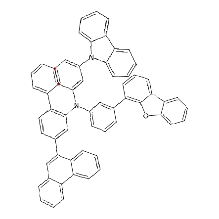 c1ccc(-c2ccc(-c3cc4ccccc4c4ccccc34)cc2N(c2cccc(-c3cccc4c3oc3ccccc34)c2)c2cccc(-n3c4ccccc4c4ccccc43)c2)cc1